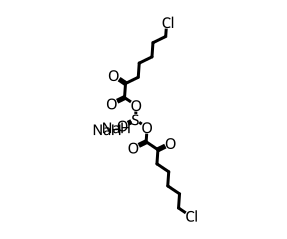 O=C(CCCCCCl)C(=O)OS(=O)OC(=O)C(=O)CCCCCCl.[NaH].[NaH]